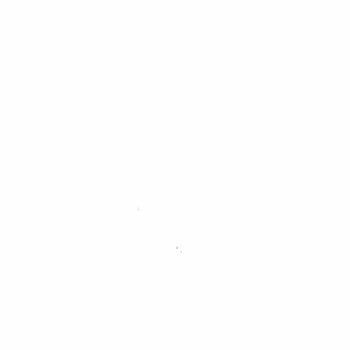 N=C(NO)C1CCc2c(Cl)cc(Cl)cc21